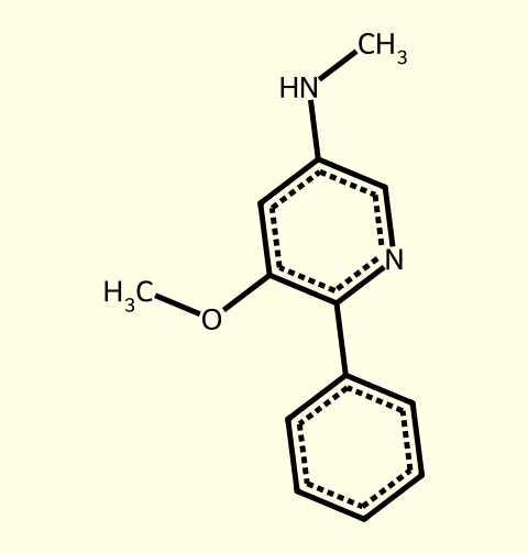 CNc1cnc(-c2ccccc2)c(OC)c1